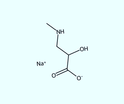 CNCC(O)C(=O)[O-].[Na+]